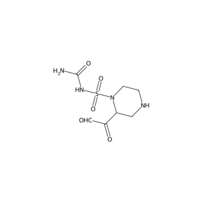 NC(=O)NS(=O)(=O)N1CCNCC1C(=O)C=O